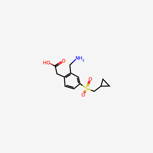 NCc1cc(S(=O)(=O)CC2CC2)ccc1CC(=O)O